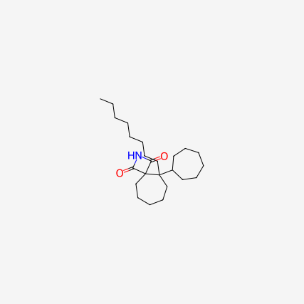 CCCCCCCCC1(C2CCCCCC2)CCCCCC12C(=O)NC2=O